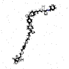 C[C@H](NC(=O)CCOCCOCCOCCOCCC(=O)N1CCN(c2ccc(C(=O)N3CCC(CCCCNC(=O)/C=C/c4cccnc4)CC3)cc2)CC1)C(C)(C)C